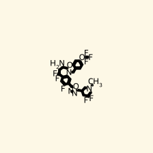 CCN1CC(c2nnc(-c3cc4c(cc3F)C(F)(F)CC(N)C(=O)N4Cc3ccc(OC(F)(F)F)cc3)o2)CC(F)(F)C1